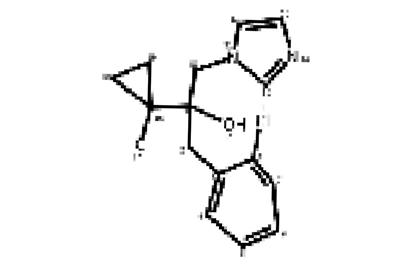 OC(Cc1ccccc1Cl)(Cn1ccnc1)C1(Cl)CC1